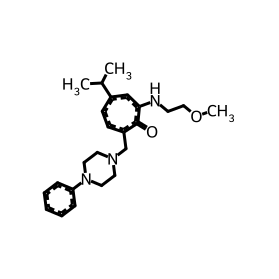 COCCNc1cc(C(C)C)ccc(CN2CCN(c3ccccc3)CC2)c1=O